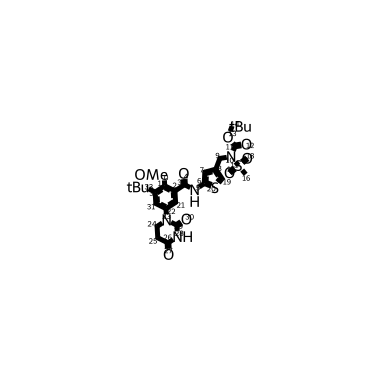 COc1c(C(=O)Nc2cc(CN(C(=O)OC(C)(C)C)S(C)(=O)=O)cs2)cc(N2CCC(=O)NC2=O)cc1C(C)(C)C